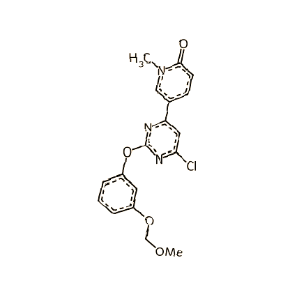 COCOc1cccc(Oc2nc(Cl)cc(-c3ccc(=O)n(C)c3)n2)c1